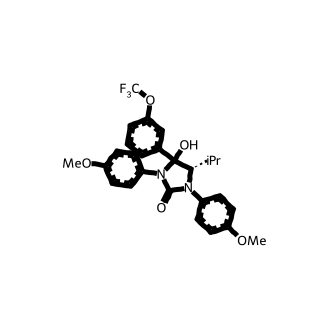 COc1ccc(N2C(=O)N(c3ccc(OC)cc3)C(O)(c3cccc(OC(F)(F)F)c3)[C@@H]2C(C)C)cc1